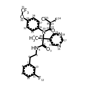 C[C@](C(=O)NCCc1cccc(F)c1)(c1cncnc1)N(C(=O)[C@H](F)Cl)c1ccc(OC(F)(F)F)cc1